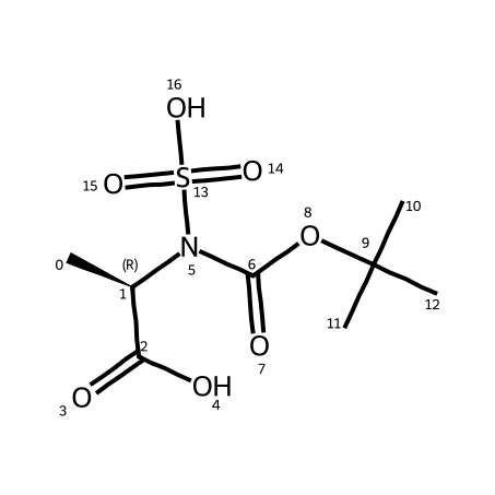 C[C@H](C(=O)O)N(C(=O)OC(C)(C)C)S(=O)(=O)O